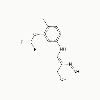 Cc1ccc(N/C=C(/CO)N=N)cc1OC(F)F